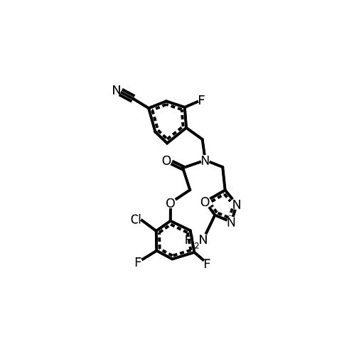 N#Cc1ccc(CN(Cc2nnc(N)o2)C(=O)COc2cc(F)cc(F)c2Cl)c(F)c1